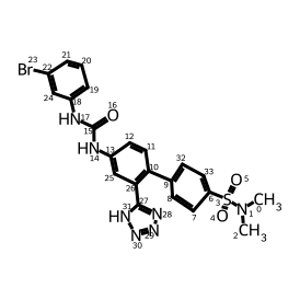 CN(C)S(=O)(=O)c1ccc(-c2ccc(NC(=O)Nc3cccc(Br)c3)cc2-c2nnn[nH]2)cc1